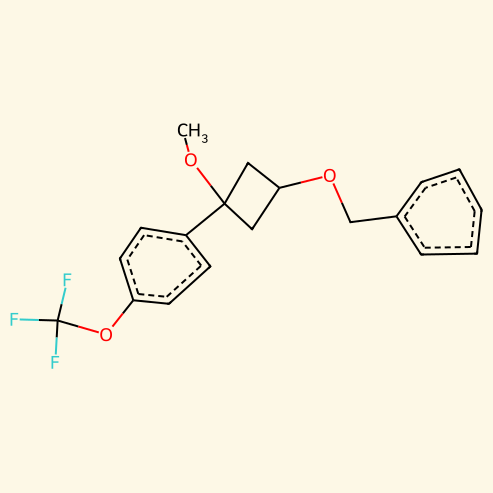 COC1(c2ccc(OC(F)(F)F)cc2)CC(OCc2ccccc2)C1